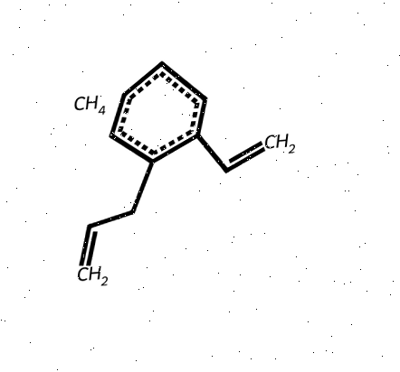 C.C=CCc1ccccc1C=C